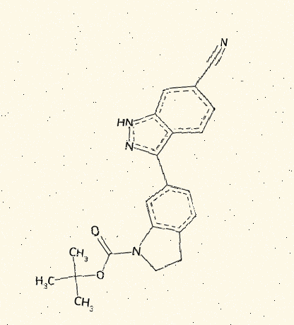 CC(C)(C)OC(=O)N1CCc2ccc(-c3n[nH]c4cc(C#N)ccc34)cc21